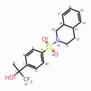 CC(O)(c1ccc(S(=O)(=O)N2CCC3C=CC=CC3C2)cc1)C(F)(F)F